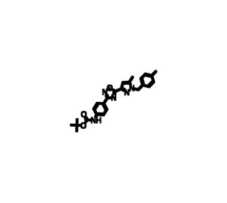 Cc1ccc(Cn2nc(-c3nc(-c4ccc(NC(=O)OC(C)(C)C)cc4)no3)cc2C)cc1